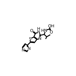 CC(C)C(NC(=O)O)c1nc2cc(-c3ccncn3)sc2c(=O)[nH]1